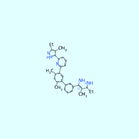 CCC(=N)/C(C)=C(\N)c1cccc(-c2cc(-c3cccc(-c4[nH]nc(CC)c4C)n3)c(C)cc2C)c1